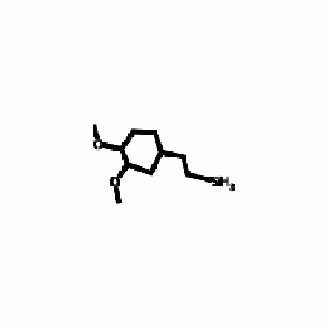 COC1CCC(CC[SiH3])CC1OC